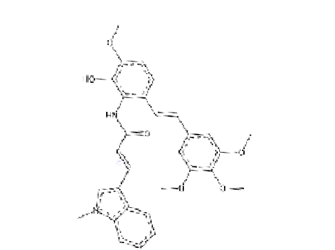 COc1ccc(C=Cc2cc(OC)c(OC)c(OC)c2)c(NC(=O)/C=C/c2cn(C)c3ccccc23)c1O